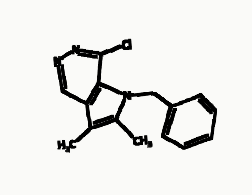 Cc1c(C)n(Cc2ccccc2)c2c(Cl)nncc12